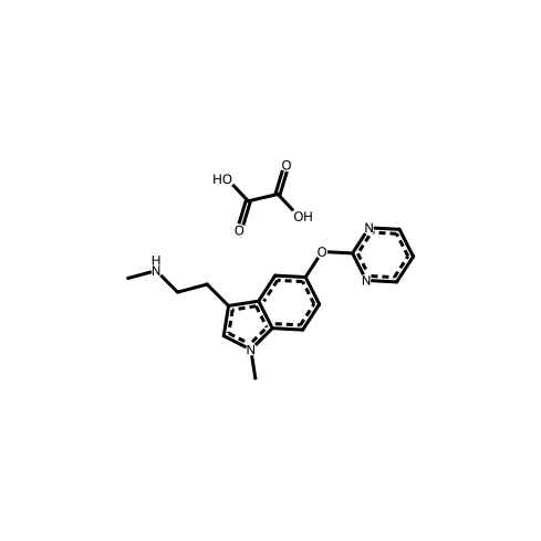 CNCCc1cn(C)c2ccc(Oc3ncccn3)cc12.O=C(O)C(=O)O